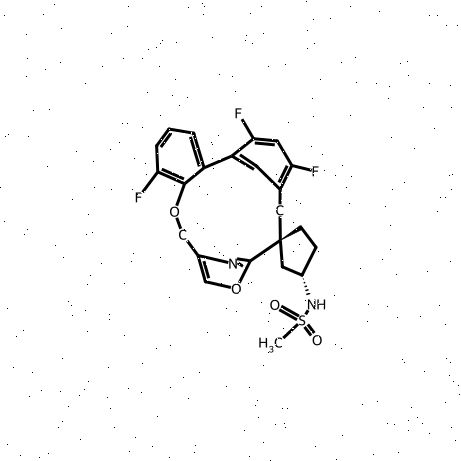 CS(=O)(=O)N[C@H]1CC[C@@]2(Cc3cc(c(F)cc3F)-c3cccc(F)c3OCc3coc2n3)C1